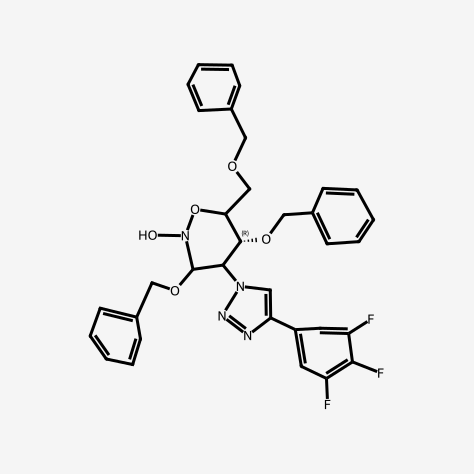 ON1OC(COCc2ccccc2)[C@H](OCc2ccccc2)C(n2cc(-c3cc(F)c(F)c(F)c3)nn2)C1OCc1ccccc1